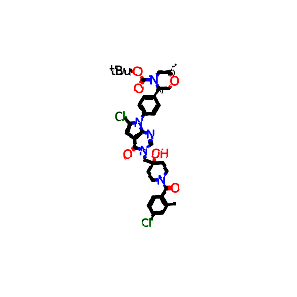 Cc1cc(Cl)ccc1C(=O)N1CCC(O)(Cn2cnc3c(cc(Cl)n3-c3ccc([C@@H]4CO[C@@H](C)CN4C(=O)OC(C)(C)C)cc3)c2=O)CC1